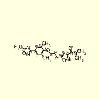 Cc1cc(-c2noc(C(F)(F)F)n2)cc(C)c1OCCCc1cc(C(=O)N(C)C)no1